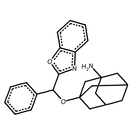 NC12CC3CC(C1)CC(OC(c1ccccc1)c1nc4ccccc4o1)(C3)C2